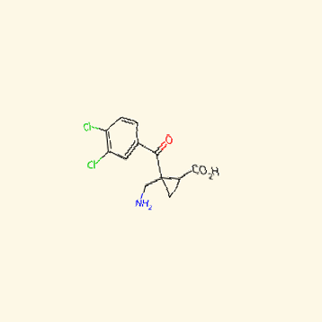 NCC1(C(=O)c2ccc(Cl)c(Cl)c2)CC1C(=O)O